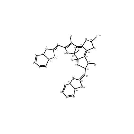 CC1=C(C=C2SC3C=CC=CC3S2)SC2(C)C1=C1CC(F)CC1=C1C(C)C(C=C3SC4C=CC=CC4S3)SC12C